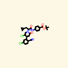 CC(C)(C)OC(=O)c1ccc(NC(=O)C(CC2CC2)n2cc(Cl)c(-c3cc(Cl)ccc3C#N)cc2=O)cc1